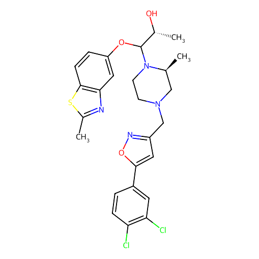 Cc1nc2cc(OC([C@@H](C)O)N3CCN(Cc4cc(-c5ccc(Cl)c(Cl)c5)on4)C[C@@H]3C)ccc2s1